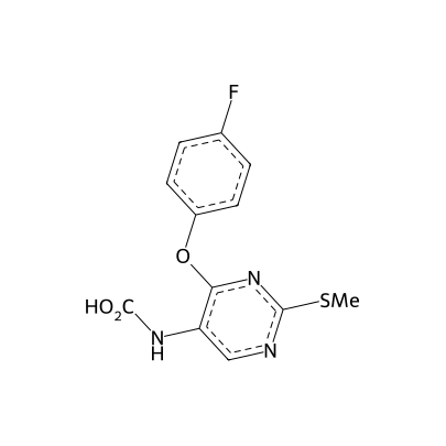 CSc1ncc(NC(=O)O)c(Oc2ccc(F)cc2)n1